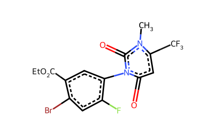 CCOC(=O)c1cc(-n2c(=O)cc(C(F)(F)F)n(C)c2=O)c(F)cc1Br